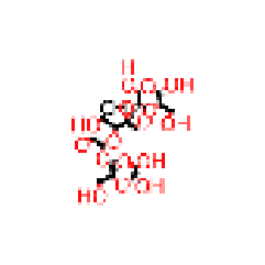 CC(O)C(OC(C=O)O[C@H]1OC(O)[C@@H](O)OC1CO)C(C=O)O[C@H]1OC(CO)[C@@H](O)OC1O